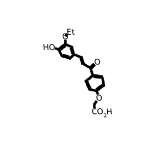 CCOc1cc(/C=C/C(=O)c2ccc(OCC(=O)O)cc2)ccc1O